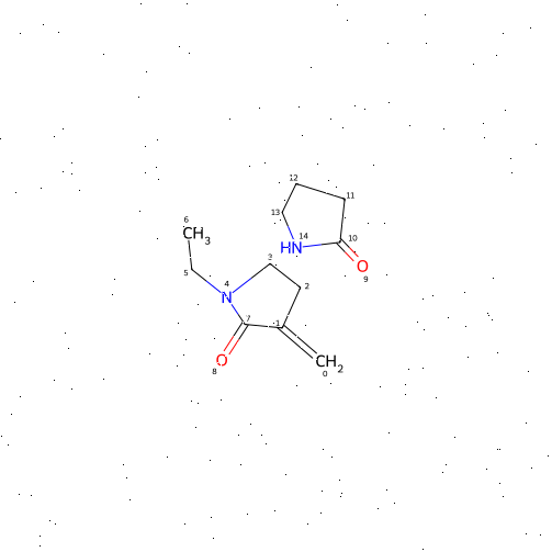 C=C1CCN(CC)C1=O.O=C1CCCN1